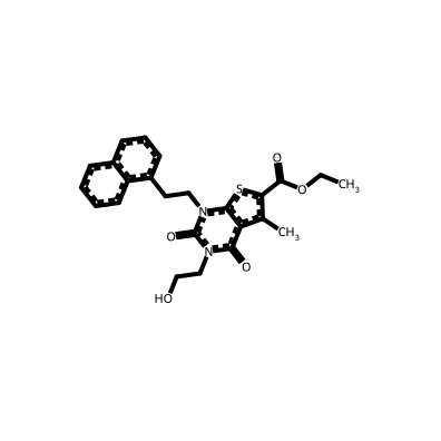 CCOC(=O)c1sc2c(c1C)c(=O)n(CCO)c(=O)n2CCc1cccc2ccccc12